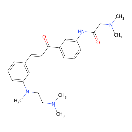 CN(C)CCN(C)c1cccc(C=CC(=O)c2cccc(NC(=O)CN(C)C)c2)c1